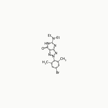 CCN(CC)c1nc2nn(-c3c(C)cc(Br)cc3C)nc2c(=O)[nH]1